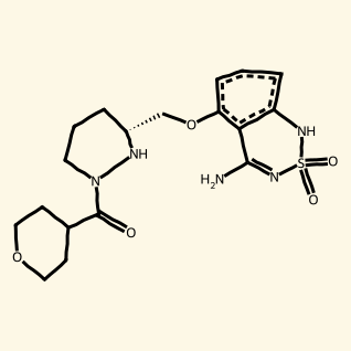 NC1=NS(=O)(=O)Nc2cccc(OC[C@H]3CCCN(C(=O)C4CCOCC4)N3)c21